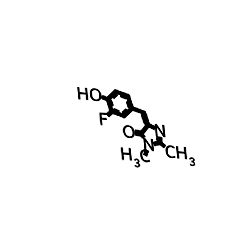 CC1=NC(=Cc2ccc(O)c(F)c2)C(=O)N1C